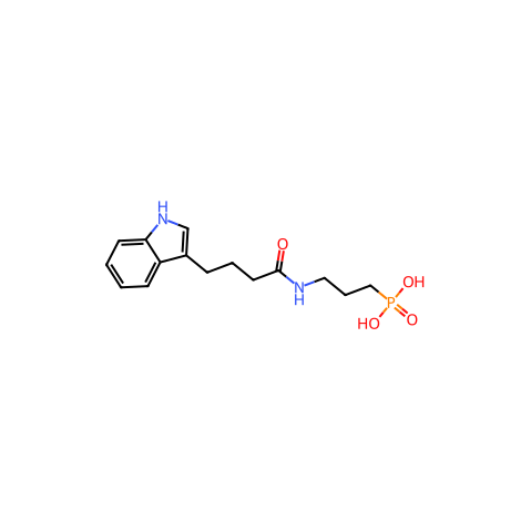 O=C(CCCc1c[nH]c2ccccc12)NCCCP(=O)(O)O